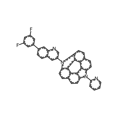 Fc1cc(F)cc(-c2ccc3cc(-n4c5ccc6ccc7c8c6c5c5c6c(ccc54)ccc(c68)n7-c4ccccn4)cnc3c2)c1